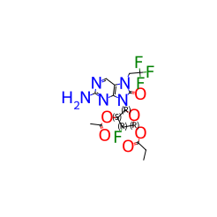 CCC(=O)O[C@H]1O[C@@H](n2c(=O)n(CC(F)(F)F)c3cnc(N)nc32)[C@H](OC(C)=O)[C@H]1F